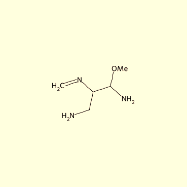 C=NC(CN)C(N)OC